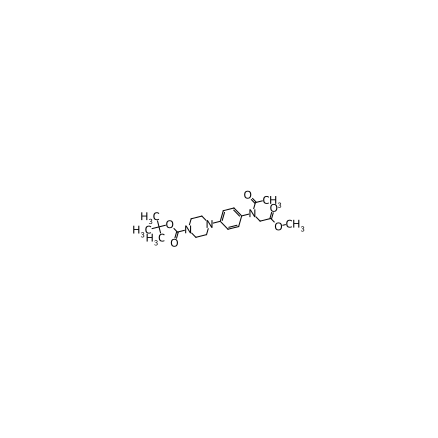 COC(=O)CN(C(C)=O)c1ccc(N2CCN(C(=O)OC(C)(C)C)CC2)cc1